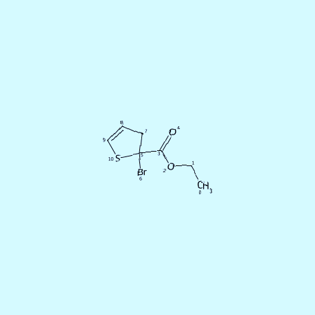 CCOC(=O)C1(Br)CC=CS1